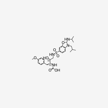 COc1ccc(C[C@H](NC(=O)O)[C@@H](O)CNS(=O)(=O)c2ccc3c(c2)OC(NC(C)C)N3CC(C)C)cc1